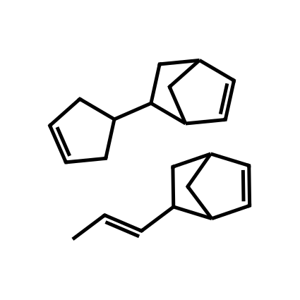 C1=CCC(C2CC3C=CC2C3)C1.CC=CC1CC2C=CC1C2